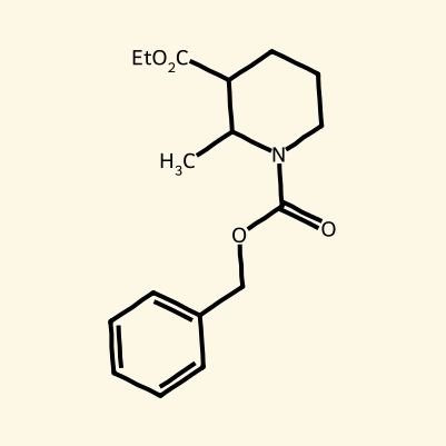 CCOC(=O)C1CCCN(C(=O)OCc2ccccc2)C1C